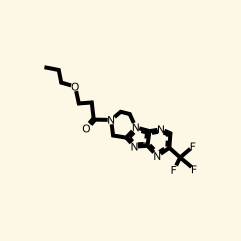 CCCOCCC(=O)N1CCn2c(nc3nc(C(F)(F)F)cnc32)C1